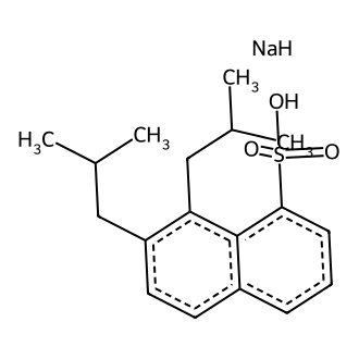 CC(C)Cc1ccc2cccc(S(=O)(=O)O)c2c1CC(C)C.[NaH]